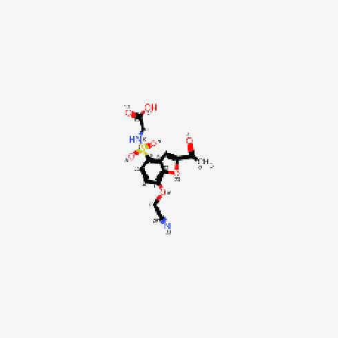 CC(=O)c1cc2c(S(=O)(=O)NCC(=O)O)ccc(OCC#N)c2o1